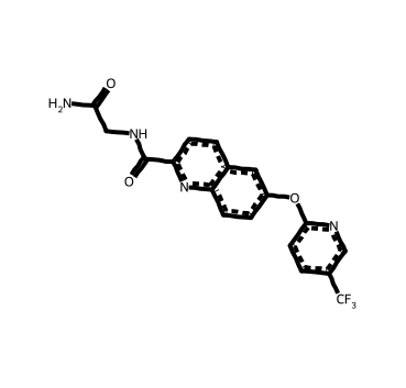 NC(=O)CNC(=O)c1ccc2cc(Oc3ccc(C(F)(F)F)cn3)ccc2n1